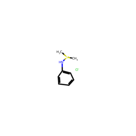 C[S+](C)Nc1ccccc1.[Cl-]